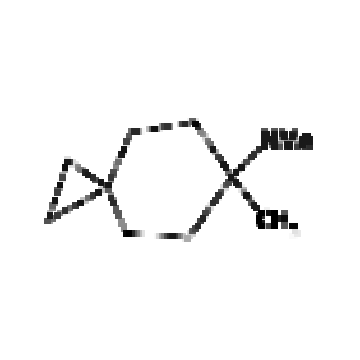 CNC1(C)CCC2(CC2)CC1